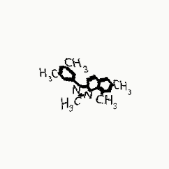 Cc1cc(C)cc(-c2nc(C)nc3c2ccc2cc(C)cc(C)c23)c1